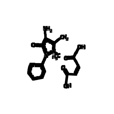 Cc1c(N)c(=O)n(-c2ccccc2)n1C.O=C(O)/C=C\C(=O)O